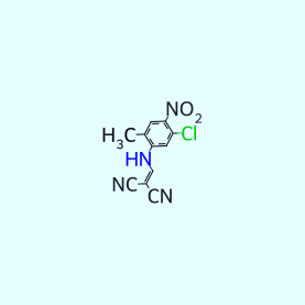 Cc1cc([N+](=O)[O-])c(Cl)cc1NC=C(C#N)C#N